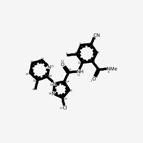 CNC(=O)c1cc(C#N)cc(C)c1NC(=O)c1cc(Cl)nn1-c1ncccc1C